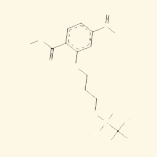 COC(=O)c1ccc([N+](=O)[O-])cc1OCCCO[Si](C)(C)C(C)(C)C